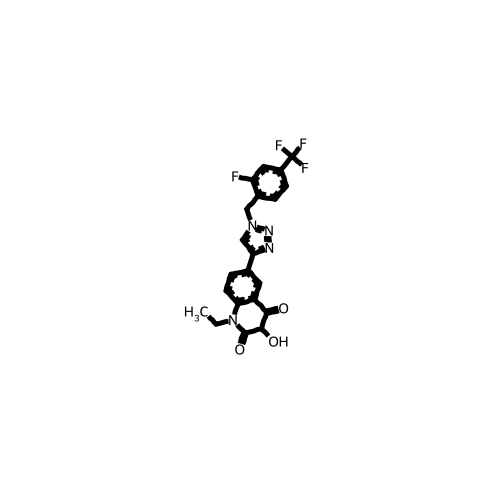 CCN1C(=O)C(O)C(=O)c2cc(-c3cn(Cc4ccc(C(F)(F)F)cc4F)nn3)ccc21